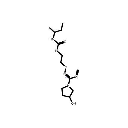 C=N/C(=N\OCCNC(=O)NC(C)CC)N1CCC(O)C1